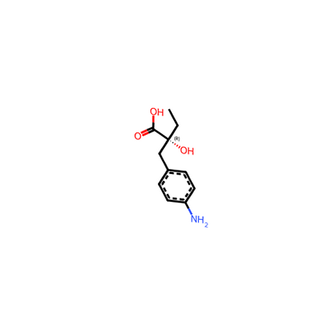 CC[C@@](O)(Cc1ccc(N)cc1)C(=O)O